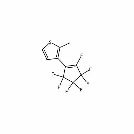 Cc1sccc1C1=C(F)C(F)(F)C(F)(F)C1(F)F